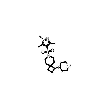 Cc1nn(C)c(C)c1S(=O)(=O)N1CCC2(CCC2N2CCOCC2)CC1